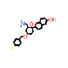 CN(C)CC1CC(OCc2ccc(F)cc2)CCC1(O)c1ccc2cc(O)ccc2c1